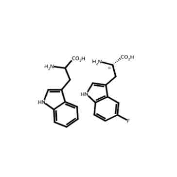 NC(Cc1c[nH]c2ccccc12)C(=O)O.N[C@@H](Cc1c[nH]c2ccc(F)cc12)C(=O)O